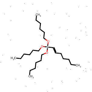 CCCCCC=C[Si](OCCCCCC)(OCCCCCC)OCCCCCC